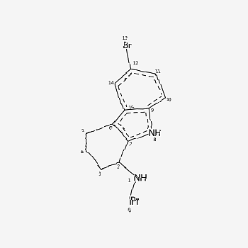 CC(C)NC1CCCc2c1[nH]c1ccc(Br)cc21